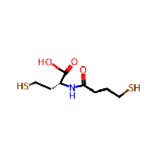 O=C(CCCS)N[C@H](CCS)C(=O)O